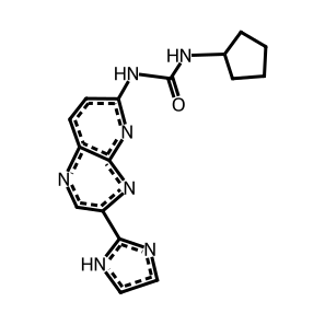 O=C(Nc1ccc2ncc(-c3ncc[nH]3)nc2n1)NC1CCCC1